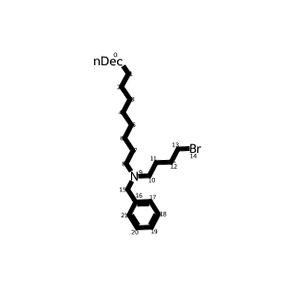 CCCCCCCCCCCCCCCCCCN(CC[CH]CBr)Cc1ccccc1